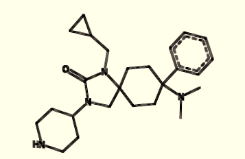 CN(C)C1(c2ccccc2)CCC2(CC1)CN(C1CCNCC1)C(=O)N2CC1CC1